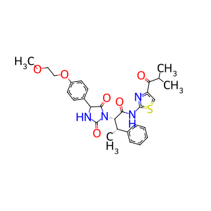 COCCOc1ccc(C2NC(=O)N([C@H](C(=O)Nc3nc(C(=O)C(C)C)cs3)[C@@H](C)c3ccccc3)C2=O)cc1